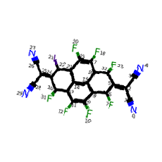 N#CC(C#N)=C1C(F)C2C(F)=C(F)C3C4=C2C(C(F)=C(F)C4C(I)C(=C(C#N)C#N)C3F)C1F